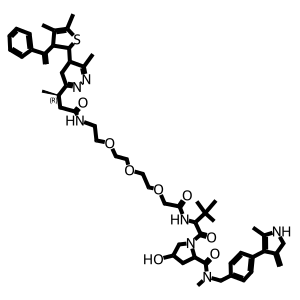 C=C1CNC(C)=C1c1ccc(CN(C)C(=O)C2CC(O)CN2C(=O)C(NC(=O)COCCOCCOCCNC(=O)C[C@@H](C)C2=NN=C(C)C(C3SC(C)=C(C)C3C(=C)c3ccccc3)C2)C(C)(C)C)cc1